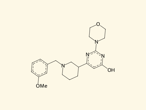 COc1cccc(CN2CCCC(c3cc(O)nc(N4CCOCC4)n3)C2)c1